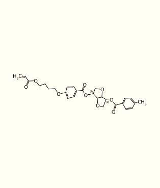 C=CC(=O)OCCCCOc1ccc(C(=O)O[C@H]2COC3C2OC[C@H]3OC(=O)c2ccc(C)cc2)cc1